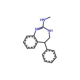 CNC1=Nc2ccccc2C(c2ccccc2)CN1